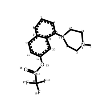 CN1CCN(c2cccc3ccc(OS(=O)C(F)(F)F)cc23)CC1